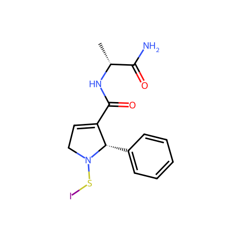 C[C@@H](NC(=O)C1=CCN(SI)[C@H]1c1ccccc1)C(N)=O